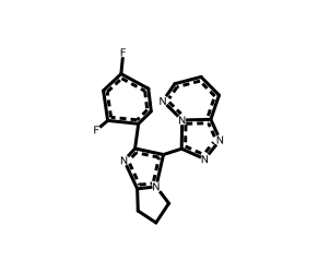 Fc1ccc(-c2nc3n(c2-c2nnc4cccnn24)CCC3)c(F)c1